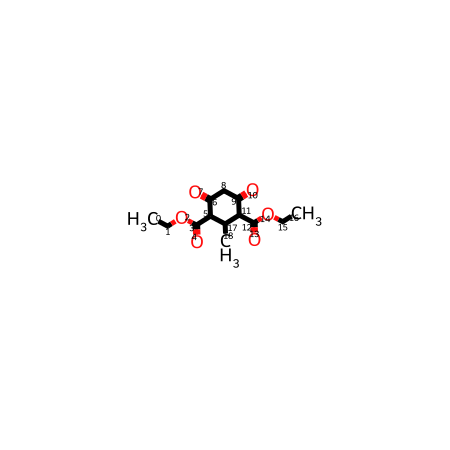 CCOC(=O)C1C(=O)CC(=O)C(C(=O)OCC)C1C